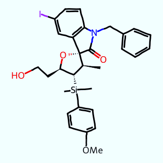 COc1ccc([Si](C)(C)[C@@H]2[C@@H](CCO)O[C@]3(C(=O)N(Cc4ccccc4)c4ccc(I)cc43)[C@H]2C)cc1